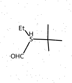 CC[SH]([C]=O)C(C)(C)C